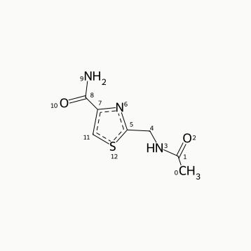 CC(=O)NCc1nc(C(N)=O)cs1